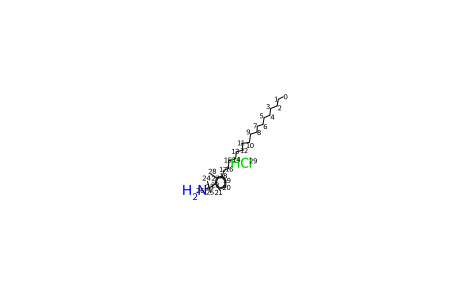 CCCCCCCCCCCCCCCCCCc1cccc(C(C)(C)N)c1C.Cl